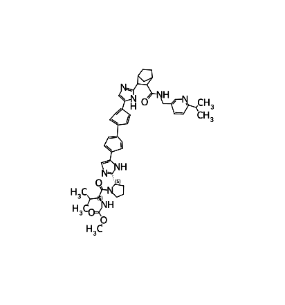 COC(=O)N[C@H](C(=O)N1CCC[C@H]1c1ncc(-c2ccc(-c3ccc(-c4cnc(C5C6CCC(C6)C5C(=O)NCc5ccc(C(C)C)nc5)[nH]4)cc3)cc2)[nH]1)C(C)C